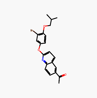 CC(=O)c1ccc2nc(Oc3ccc(OCC(C)C)c(Br)c3)ccc2c1